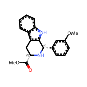 COC(=O)[C@@H]1Cc2c([nH]c3ccccc23)[C@H](c2cccc(OC)c2)N1